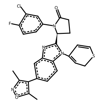 Cc1noc(C)c1-c1ccc2c(c1)nc([C@@H]1CCC(=O)N1c1ccc(F)c(Cl)c1)n2C1=CCSC=C1